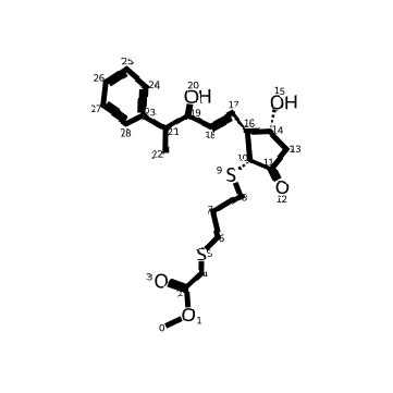 COC(=O)CSCCCS[C@H]1C(=O)C[C@@H](O)[C@@H]1/C=C/C(O)C(C)c1ccccc1